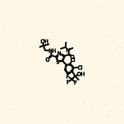 CC(C)N(C)C(=O)c1nc(C(=O)NCC(C)(C)O)sc1-c1ccc(C(C)(O)C(F)(F)F)c(Cl)c1Cl